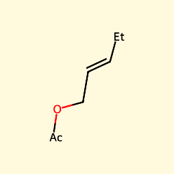 CCC=CCOC(C)=O